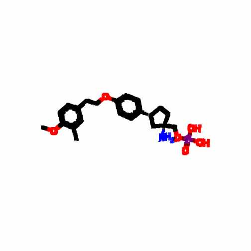 COc1ccc(CCOc2ccc([C@@H]3CC[C@@](N)(COP(=O)(O)O)C3)cc2)cc1C